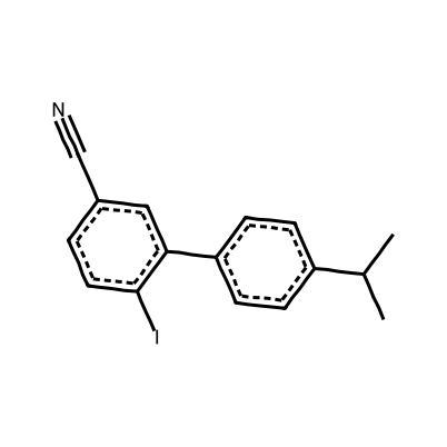 CC(C)c1ccc(-c2cc(C#N)ccc2I)cc1